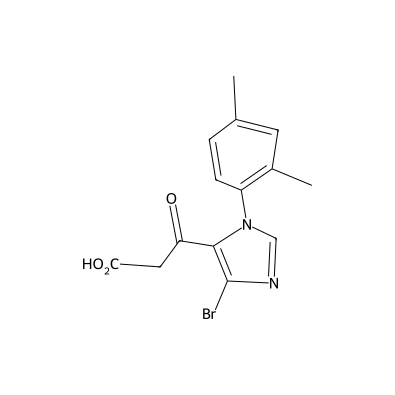 Cc1ccc(-n2cnc(Br)c2C(=O)CC(=O)O)c(C)c1